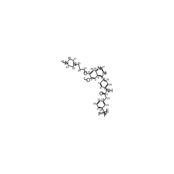 COc1cc2c(-c3ccc(NC(=O)Cc4cccc(C(F)(F)F)c4)cc3)ncnc2cc1OCCCN1CCN(C)CC1